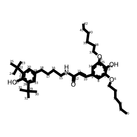 CCCCCCOc1cc(/C=C/C(=O)NCCCCc2cc(C(C)(C)C)c(O)c(C(C)(C)C)c2)cc(OCCCCCC)c1O